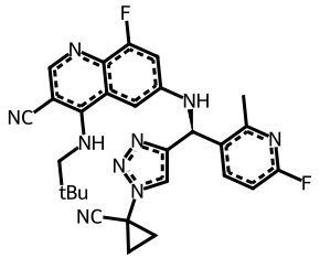 Cc1nc(F)ccc1[C@H](Nc1cc(F)c2ncc(C#N)c(NCC(C)(C)C)c2c1)c1cn(C2(C#N)CC2)nn1